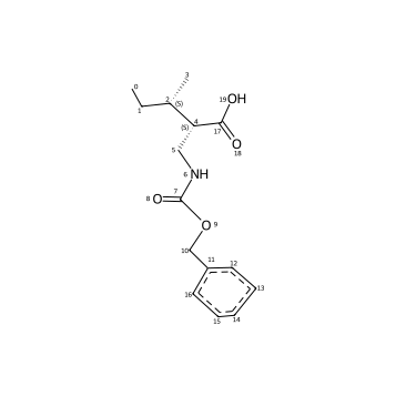 CC[C@H](C)[C@@H](CNC(=O)OCc1ccccc1)C(=O)O